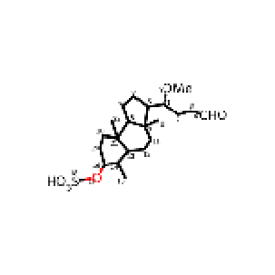 COC(CCC=O)C1CCC2C1(C)CCC1C(C)C(OS(=O)(=O)O)CCC12C